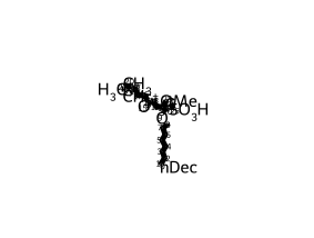 CCCCCCCCCCCCCCCCCCOCC(CC[S+]([O-])CCC[N+](C)(C)C)OC.CS(=O)(=O)O